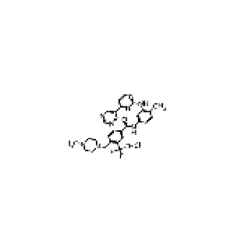 Cc1ccc(NC(=O)c2ccc(CN3CCN(C)CC3)c(C(F)(F)F)c2)cc1Nc1nccc(-c2cncnc2)n1.Cl